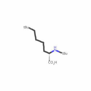 CC(C)(C)CCCC[C@H](NC(C)(C)C)C(=O)O